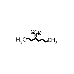 CCCCC(CCC)[N+](=O)[O-]